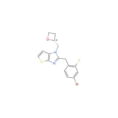 Fc1cc(Br)ccc1Cc1nc2sccc2n1C[C@H]1CCO1